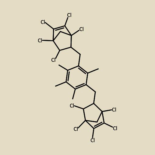 Cc1c(C)c(CC2C(Cl)C3(Cl)CC2(Cl)C(Cl)=C3Cl)c(C)c(CC2C(Cl)C3(Cl)CC2(Cl)C(Cl)=C3Cl)c1C